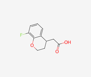 O=C(O)CC1CCOc2c(F)cccc21